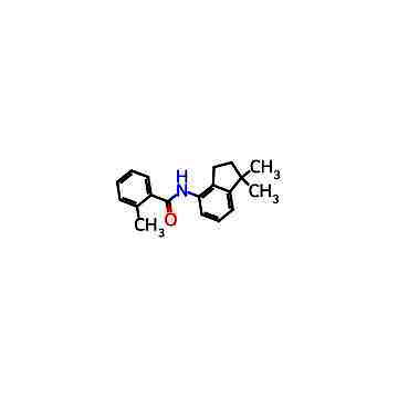 Cc1ccccc1C(=O)Nc1cccc2c1CCC2(C)C